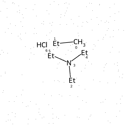 CCC.CCN(CC)CC.Cl